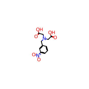 O=C(O)CN(CC(=O)O)Cc1cccc([N+](=O)[O-])c1